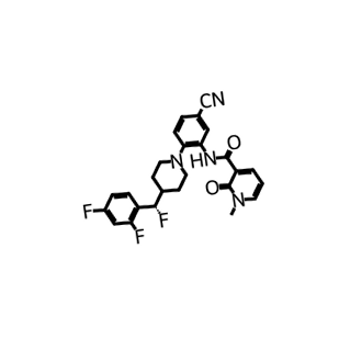 Cn1cccc(C(=O)Nc2cc(C#N)ccc2N2CCC([C@H](F)c3ccc(F)cc3F)CC2)c1=O